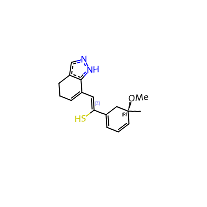 CO[C@@]1(C)C=CC=C(/C(S)=C/C2=CCCc3cn[nH]c32)C1